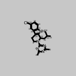 Cc1nc(C)nc(N2CCc3c([nH]c4ccc(Cl)cc34)C2CC(C)C)n1